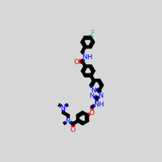 CN(C)CCN(C)C(=O)c1ccc(OCNc2nc3ccc(-c4ccc(C(=O)NCc5ccc(F)cc5)cc4)cn3n2)cc1